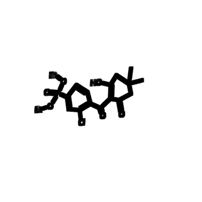 CCOP(=O)(OCC)c1ccc(C(=O)C2=C(O)CC(C)(C)CC2=O)c(Cl)c1